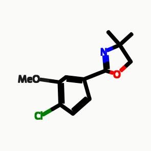 COc1cc(C2=NC(C)(C)CO2)ccc1Cl